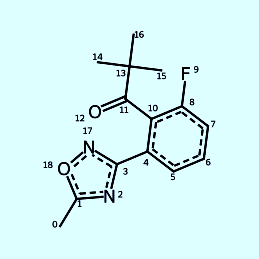 Cc1nc(-c2cccc(F)c2C(=O)C(C)(C)C)no1